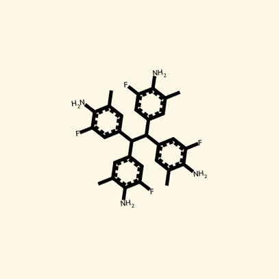 Cc1cc(C(c2cc(C)c(N)c(F)c2)C(c2cc(C)c(N)c(F)c2)c2cc(C)c(N)c(F)c2)cc(F)c1N